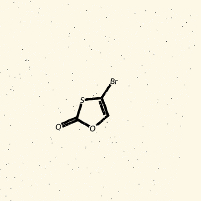 O=c1occ(Br)s1